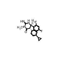 CN1C(=N)N[C@](C)(c2ccc(F)cc2F)[C@H](c2ccc(C3CC3)cc2)C1=O